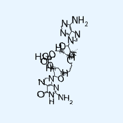 C[C@@]1(F)C(n2cnc3c(N)ncnc32)O[C@@H]2COP(=O)(O)O[C@@H]3C[C@@H](CCC[C@H]21)OC3n1cnc2c(=O)[nH]c(N)nc21